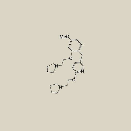 COc1c[c]c(Cc2ccc(OCCN3CCCC3)nc2)c(OCCN2CCCC2)c1